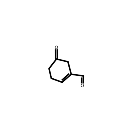 O=CC1=CCCC(=O)C1